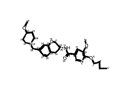 CCCCOc1ncc(C(=O)N[C@H]2COc3cc(CN4CCC(OC)CC4)ccc3C2)cc1OC